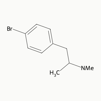 CNC(C)Cc1ccc(Br)cc1